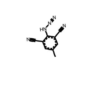 Cc1cc(C#N)c(N[N+]#N)c(C#N)c1